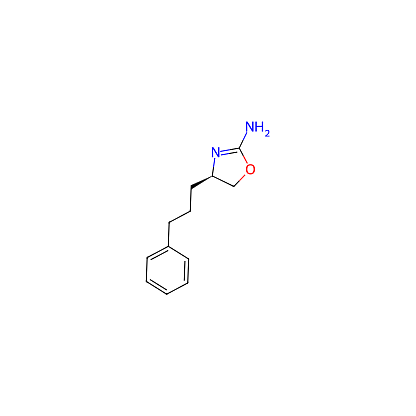 NC1=N[C@H](CCCc2ccccc2)CO1